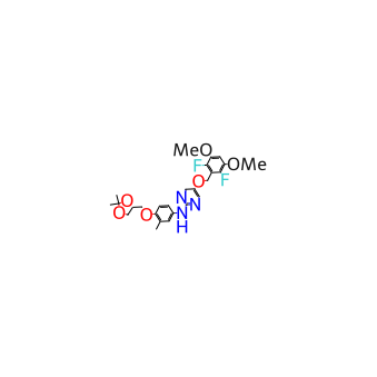 COc1cc(OC)c(F)c(COc2cnc(Nc3ccc(OCC4COC(C)(C)O4)c(C)c3)nc2)c1F